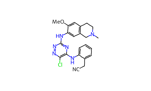 COc1cc2c(cc1Nc1nnc(Cl)c(Nc3ccccc3CC#N)n1)CN(C)CC2